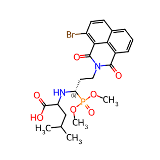 COP(=O)(OC)[C@@H](CCN1C(=O)c2cccc3ccc(Br)c(c23)C1=O)NC(CC(C)C)C(=O)O